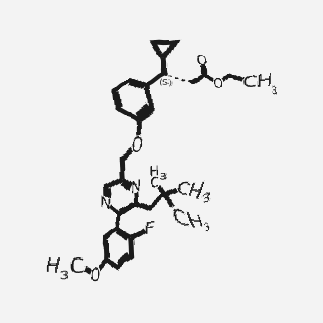 CCOC(=O)C[C@H](c1cccc(OCc2cnc(-c3cc(OC)ccc3F)c(CC(C)(C)C)n2)c1)C1CC1